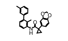 Cc1cccc(-c2cccc(NC(=O)C3(c4ccc5c(c4)OCO5)CC3)c2C)c1